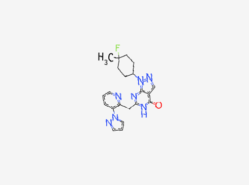 CC1(F)CCC(n2ncc3c(=O)[nH]c(Cc4ncccc4-n4cccn4)nc32)CC1